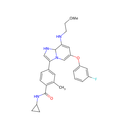 COCCNC1=CC(Oc2cccc(F)c2)=CN2C(c3ccc(C(=O)NC4CC4)c(C)c3)=CNC12